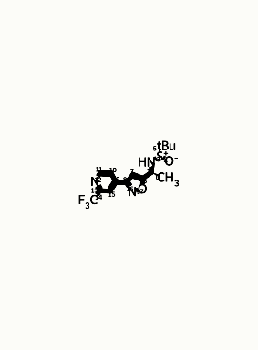 C[C@@H](N[S@@+]([O-])C(C)(C)C)c1cc(-c2ccnc(C(F)(F)F)c2)no1